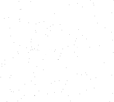 CNC(=O)OCCC[Si](C)(C)F